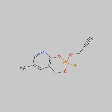 C#CCO[PH]1(S)OCc2cc(C)cnc2O1